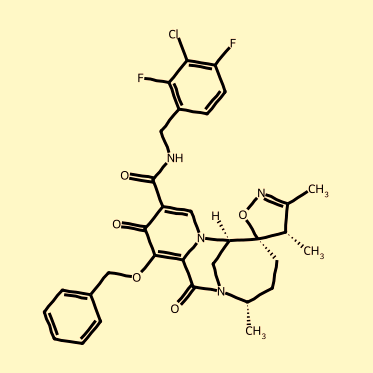 CC1=NO[C@@]2(CC[C@H](C)N3C[C@H]2n2cc(C(=O)NCc4ccc(F)c(Cl)c4F)c(=O)c(OCc4ccccc4)c2C3=O)[C@H]1C